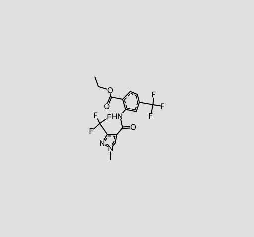 CCOC(=O)c1ccc(C(F)(F)F)cc1NC(=O)c1cn(C)nc1C(F)(F)F